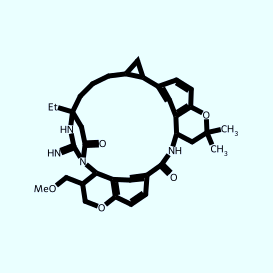 CCC12CCCC3CC3c3ccc4c(c3)C(CC(C)(C)O4)NC(=O)c3ccc4c(c3)C(C(COC)CO4)N(C(=N)N1)C(=O)C2